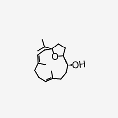 C/C1=C\C[C@]2(C(C)C)CC[C@@](C)(O2)[C@@H](O)CC/C(C)=C/CC1